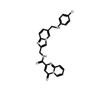 O=C(NCc1cn2cc(CNc3ccc(Cl)cc3)ccc2n1)c1cc(=O)n2ccccc2n1